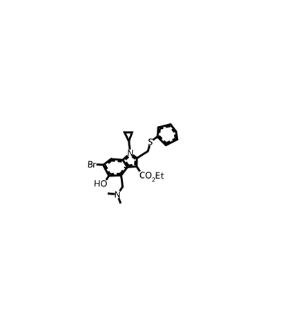 CCOC(=O)c1c(CSc2ccccc2)n(C2CC2)c2cc(Br)c(O)c(CN(C)C)c12